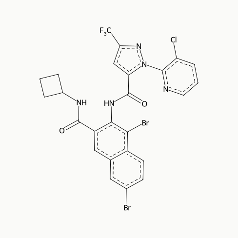 O=C(NC1CCC1)c1cc2cc(Br)ccc2c(Br)c1NC(=O)c1cc(C(F)(F)F)nn1-c1ncccc1Cl